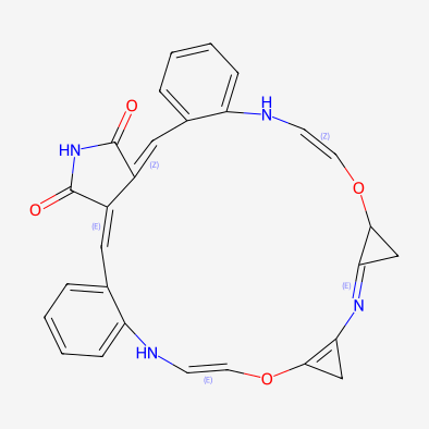 O=C1NC(=O)/C2=C/c3ccccc3N/C=C/OC3=C(C3)/N=C3\CC3O/C=C\Nc3ccccc3\C=C/12